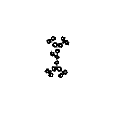 c1cncc(-c2cc(-c3ccc(-n4c5ccc(-n6c7ccccc7c7ccccc76)cc5c5cc(-n6c7ccccc7c7ccccc76)ccc54)cc3)ccc2-c2ccc(-n3c4ccc(-n5c6ccccc6c6ccccc65)cc4c4cc(-n5c6ccccc6c6ccccc65)ccc43)cc2)c1